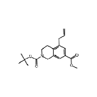 C=CCc1cc(C(=O)OC)cc2c1CCN(C(=O)OC(C)(C)C)C2